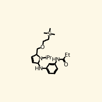 CCC(=O)Nc1cccc(NC2C=CC(COCC[Si](C)(C)C)N2C(C)C)c1